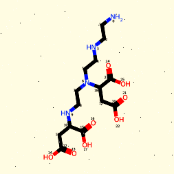 NCCNCCN(CCNC(CC(=O)O)C(=O)O)C(CC(=O)O)C(=O)O